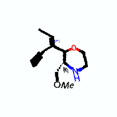 C#C/C(=C\C)C1OCCN[C@@H]1COC